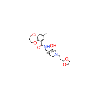 Cc1cc2c(c(C(=O)NC[C@@H]3CCN(CCC4OCCO4)C[C@H]3O)c1)OCCCO2